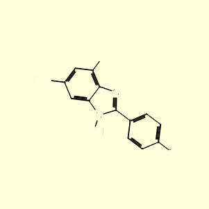 Cn1c(-c2ccc(F)cc2)nc2c(Br)cc(C(F)(F)F)cc21